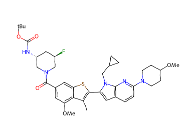 COc1cc(C(=O)N2C[C@H](F)C[C@@H](NC(=O)OC(C)(C)C)C2)cc2sc(-c3cc4ccc(N5CCC(OC)CC5)nc4n3CC3CC3)c(C)c12